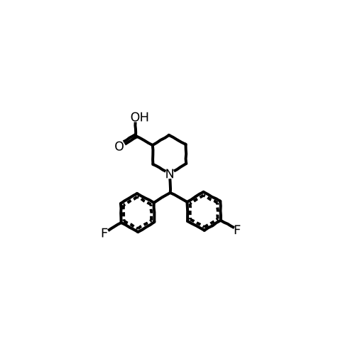 O=C(O)C1CCCN(C(c2ccc(F)cc2)c2ccc(F)cc2)C1